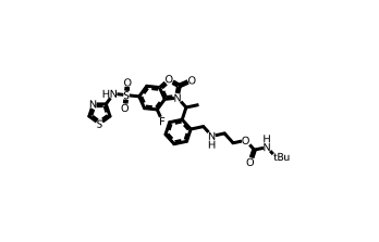 CC(c1ccccc1CNCCOC(=O)NC(C)(C)C)n1c(=O)oc2cc(S(=O)(=O)Nc3cscn3)cc(F)c21